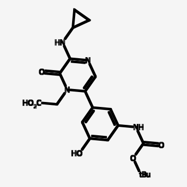 CC(C)(C)OC(=O)Nc1cc(O)cc(-c2cnc(NC3CC3)c(=O)n2CC(=O)O)c1